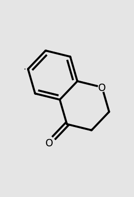 O=C1CCOc2cc[c]cc21